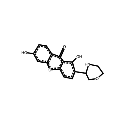 O=c1c2ccc(O)cc2oc2ccc(C3COCCN3)c(O)c12